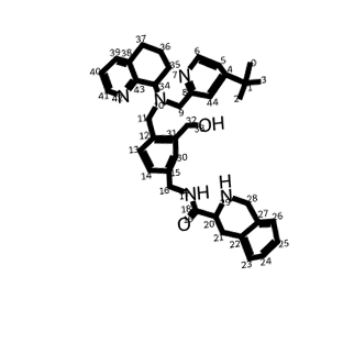 CC(C)(C)c1ccnc(CN(Cc2ccc(CNC(=O)C3Cc4ccccc4CN3)cc2CO)C2CCCc3cccnc32)c1